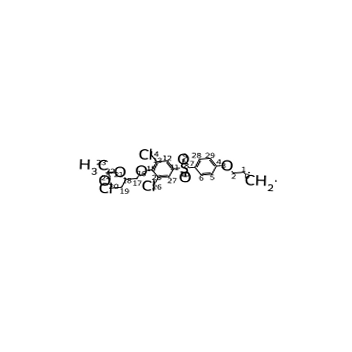 [CH2][CH]COc1ccc(S(=O)(=O)c2cc(Cl)c(OCC(CCl)OC(C)=O)c(Cl)c2)cc1